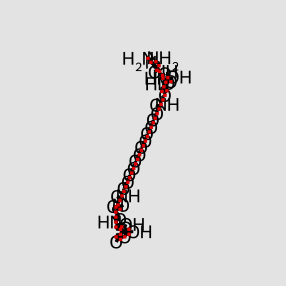 NC(N)=Nc1cccc(C(=O)NCC(=O)N[C@@H](CC(=O)O)C(=O)Nc2ccc(OCCCNC(=O)CCOCCOCCOCCOCCOCCOCCOCCOCCOCCOCCOCCOCCNC(=O)CCN3C(=O)CC(SCCC(=O)Nc4ccc(-c5c6ccc(=O)cc-6oc6cc(O)ccc56)c(C(=O)O)c4)C3=O)cc2)c1